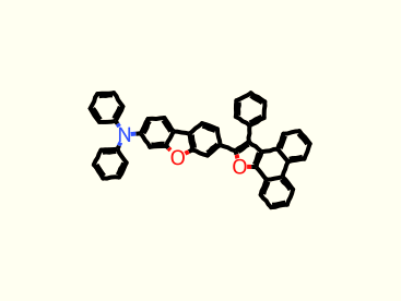 c1ccc(-c2c(-c3ccc4c(c3)oc3cc(N(c5ccccc5)c5ccccc5)ccc34)oc3c4ccccc4c4ccccc4c23)cc1